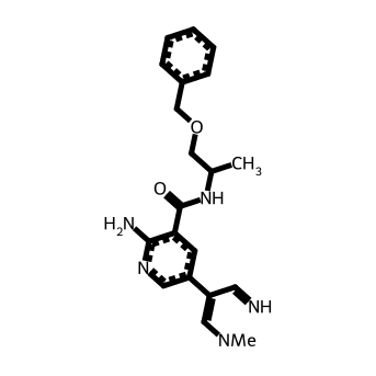 CN/C=C(\C=N)c1cnc(N)c(C(=O)NC(C)COCc2ccccc2)c1